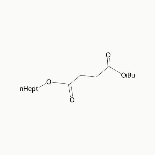 CCCCCCCOC(=O)CCC(=O)OCC(C)C